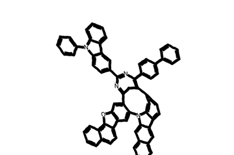 c1ccc(-c2ccc(C3=C4CC(=NC(c5ccc6c(c5)c5ccccc5n6-c5ccccc5)=N3)c3cc5oc6c7ccccc7ccc6c5cc3-n3c5cc4ccc5c4cc5ccccc5cc43)cc2)cc1